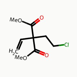 C=CC(CCCl)(C(=O)OC)C(=O)OC